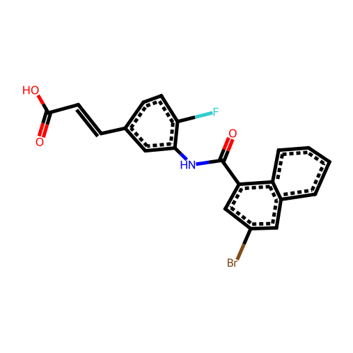 O=C(O)C=Cc1ccc(F)c(NC(=O)c2cc(Br)cc3ccccc23)c1